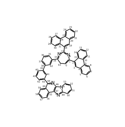 C1=C(c2cc3ccccc3c3ccccc23)N=C(c2cc3ccccc3c3ccccc23)N=C(c2cccc(-c3cccc(-c4nc5c(nc6ccccn65)c5ccccc45)c3)c2)C1